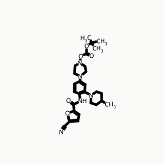 CC1CCN(c2cc(N3CCN(OC(=O)OC(C)(C)C)CC3)ccc2NC(=O)c2ccc(C#N)o2)CC1